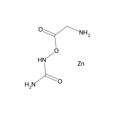 NCC(=O)ONC(N)=O.[Zn]